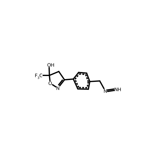 N=NCc1ccc(C2=NOC(O)(C(F)(F)F)C2)cc1